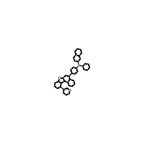 c1ccc(N(c2ccc(-c3cc4oc5cccc(-c6cccnc6)c5c4c4ccccc34)cc2)c2ccc3ccccc3c2)cc1